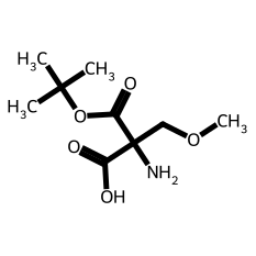 COCC(N)(C(=O)O)C(=O)OC(C)(C)C